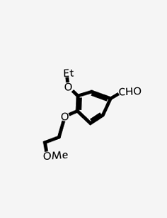 CCOc1cc(C=O)ccc1OCCOC